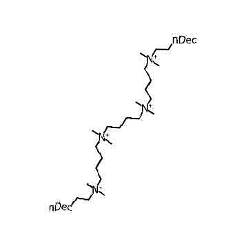 CCCCCCCCCCCC[N+](C)(C)CCCC[N+](C)(C)CCCC[N+](C)(C)CCCC[N+](C)(C)CCCCCCCCCCCC